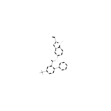 Cn1c(C(=O)[O-])cc2cc(NC(=O)c3cc(C(F)(F)F)ccc3-c3ccccc3)ccc21.[K+]